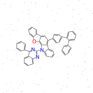 c1ccc(-c2ccccc2-c2ccc(-c3cc4c5ccccc5oc4c4c3c3ccccc3n4-c3nc(-c4ccccc4)c4ccccc4n3)cc2)cc1